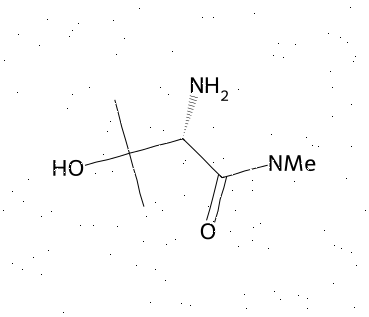 CNC(=O)[C@@H](N)C(C)(C)O